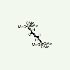 CO[Si](CNC(=O)/C=C/C(=O)NC[Si](OC)(OC)OC)(OC)OC